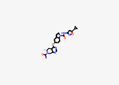 CC(=O)N1Cc2ncnc(Oc3ccc4c(ccn4C(=O)Nc4cc(C5CC5)on4)c3)c2C[C@H]1C